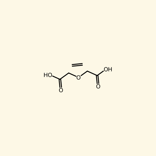 C=C.O=C(O)COCC(=O)O